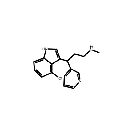 CNCCC(c1cccnc1)c1c[nH]c2cccc(Cl)c12